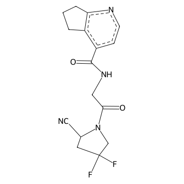 N#CC1CC(F)(F)CN1C(=O)CNC(=O)c1ccnc2c1CCC2